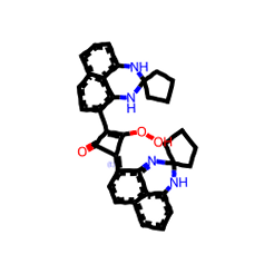 O=C1C(c2ccc3cccc4c3c2NC2(CCCC2)N4)=C(OO)/C1=c1/ccc2cccc3c2c1=NC1(CCCC1)N3